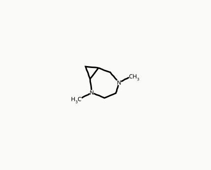 CN1CCN(C)C2CC2C1